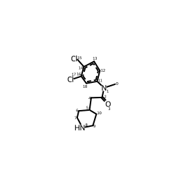 CN(C(=O)CC1CCNCC1)c1ccc(Cl)c(Cl)c1